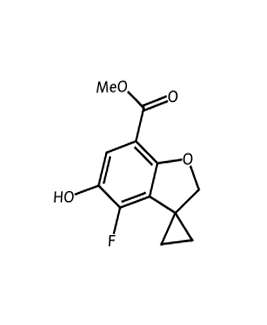 COC(=O)c1cc(O)c(F)c2c1OCC21CC1